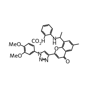 COc1ccc(-n2cc(-c3cc(=O)c4cc(C)cc(C(C)Nc5ccccc5C(=O)O)c4o3)nn2)cc1OC